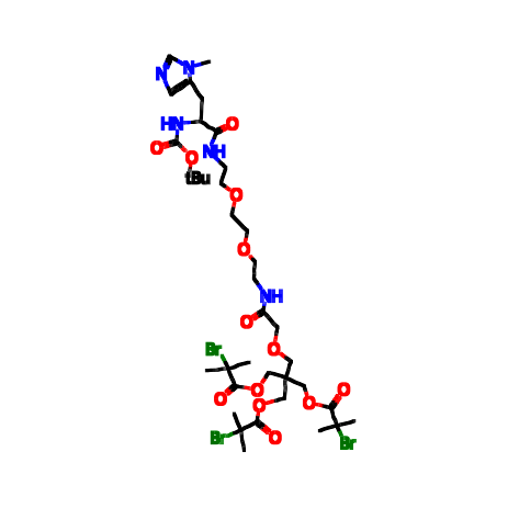 Cn1cncc1CC(NC(=O)OC(C)(C)C)C(=O)NCCOCCOCCNC(=O)COCC(COC(=O)C(C)(C)Br)(COC(=O)C(C)(C)Br)COC(=O)C(C)(C)Br